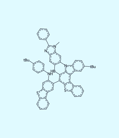 Cn1c(-c2ccccc2)nc2cc3c(cc21)-n1c2ccc(C(C)(C)C)cc2c2c4c(sc5ccccc54)c(-c4cc5c(cc4Nc4ccc(C(C)(C)C)cc4)sc4ccccc45)c(c21)B3